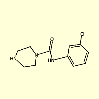 O=C(Nc1cccc(Cl)c1)N1CCNCC1